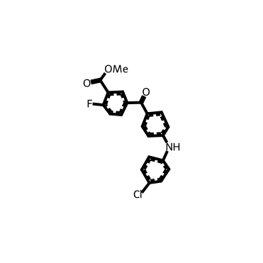 COC(=O)c1cc(C(=O)c2ccc(Nc3ccc(Cl)cc3)cc2)ccc1F